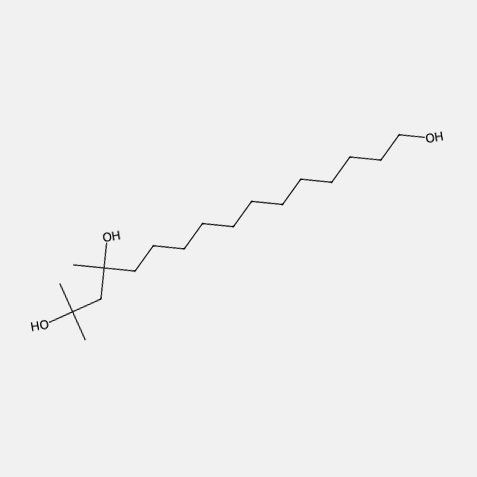 CC(C)(O)CC(C)(O)CCCCCCCCCCCCO